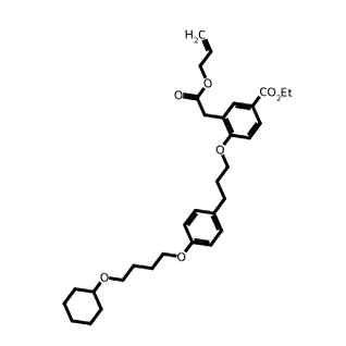 C=CCOC(=O)Cc1cc(C(=O)OCC)ccc1OCCCc1ccc(OCCCCOC2CCCCC2)cc1